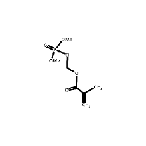 C=C(C)C(=O)OCOP(=O)(OC)OC